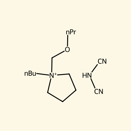 CCCC[N+]1(COCCC)CCCC1.N#CNC#N